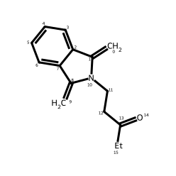 C=c1c2ccccc2c(=C)n1CCC(=O)CC